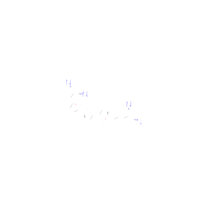 N#CC(C#N)=C/C=C/c1ccc(-c2sc(-c3ccc(C=C(C#N)C#N)o3)c3c2CCC3)o1